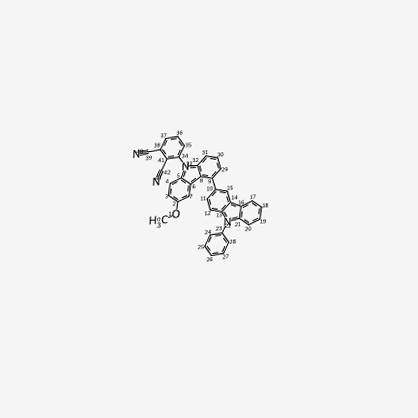 COc1ccc2c(c1)c1c(-c3ccc4c(c3)c3ccccc3n4-c3ccccc3)cccc1n2-c1cccc(C#N)c1C#N